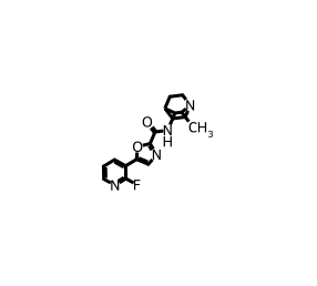 CC1C(NC(=O)c2ncc(-c3cccnc3F)o2)C2CCN1CC2